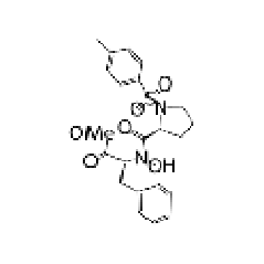 COC(=O)[C@H](Cc1ccccc1)N(O)C(=O)[C@@H]1CCCN1S(=O)(=O)c1ccc(C)cc1